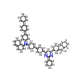 CC1(C)c2ccccc2-c2ccc(-c3cc(-c4ccc(-c5ccc(N(c6ccc(-c7ccc(-c8ccccc8)cc7)cc6)c6cccc7ccccc67)cc5)cc4)nc(-c4ccccc4)n3)cc21